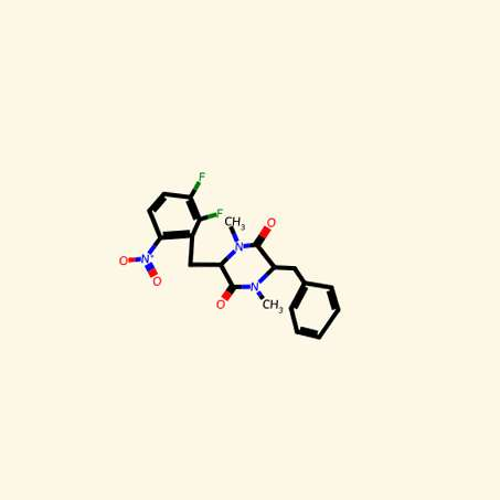 CN1C(=O)C(Cc2c([N+](=O)[O-])ccc(F)c2F)N(C)C(=O)C1Cc1ccccc1